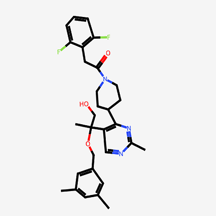 Cc1cc(C)cc(COC(C)(CO)c2cnc(C)nc2C2CCN(C(=O)Cc3c(F)cccc3F)CC2)c1